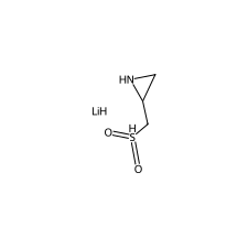 O=[SH](=O)CC1CN1.[LiH]